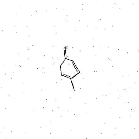 CC1=CCC(=N)C=C1